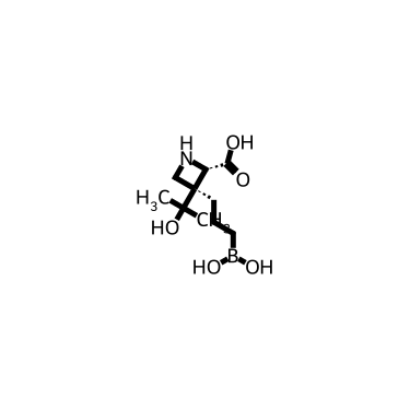 CC(C)(O)[C@@]1(CCCB(O)O)CN[C@@H]1C(=O)O